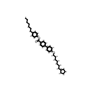 CCCCCCCc1ccc(OC(=O)c2ccc(-c3ccc(OCCCCCCCC4CCCC4)cc3)cc2)cc1